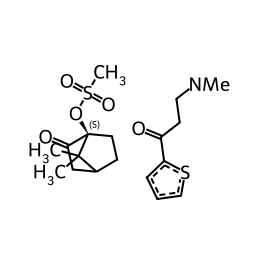 CC1(C)C2CC[C@@]1(OS(C)(=O)=O)C(=O)C2.CNCCC(=O)c1cccs1